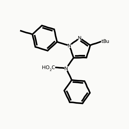 Cc1ccc(-n2nc(C(C)(C)C)cc2N(C(=O)O)c2ccccc2)cc1